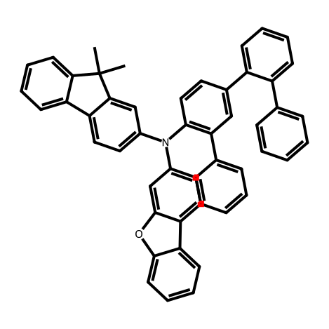 CC1(C)c2ccccc2-c2ccc(N(c3ccc4c(c3)oc3ccccc34)c3ccc(-c4ccccc4-c4ccccc4)cc3-c3ccccc3)cc21